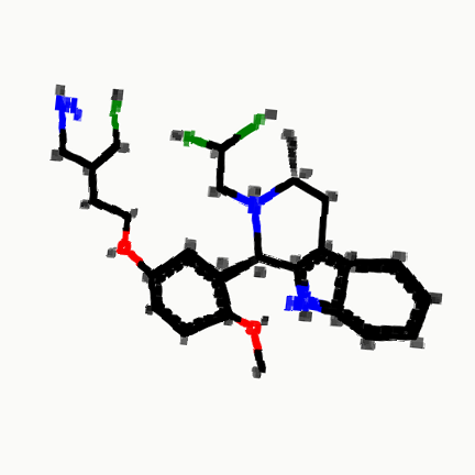 COc1ccc(OCCC(CN)CF)cc1[C@@H]1c2[nH]c3ccccc3c2C[C@@H](C)N1CC(F)F